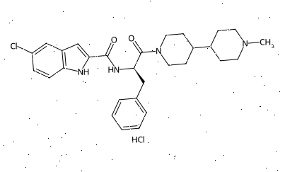 CN1CCC(C2CCN(C(=O)[C@@H](Cc3ccccc3)NC(=O)c3cc4cc(Cl)ccc4[nH]3)CC2)CC1.Cl